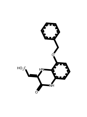 O=C(O)C=C1Nc2c(cccc2OCc2ccccc2)NC1=O